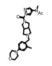 CC(=O)N(C)c1cnn(C(=O)N2CC3CN(Cc4ccc(N5CCOCC5)cc4C)CC3C2)c1